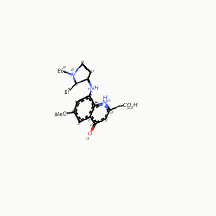 CCC1C(Nc2cc(OC)cc3c(=O)cc(C(=O)O)[nH]c23)CCN1CC